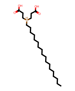 CCCCCCCCCCCCCCCCCC[SH](CCC(=O)O)CCC(=O)O